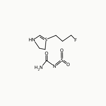 FCCCS1=CNCC1.NC(=O)N=S(=O)=O